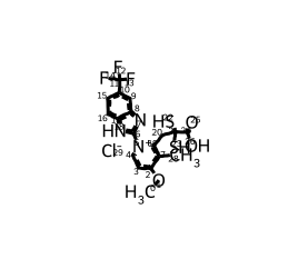 COc1cc[n+](-c2nc3cc(C(F)(F)F)ccc3[nH]2)c(CC(S)(S)C(=O)O)c1C.[Cl-]